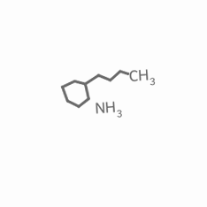 CCCCC1CCCCC1.N